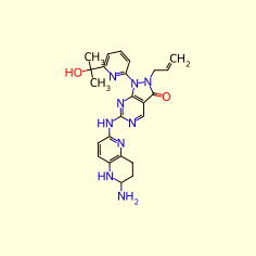 C=CCn1c(=O)c2cnc(Nc3ccc4c(n3)CCC(N)N4)nc2n1-c1cccc(C(C)(C)O)n1